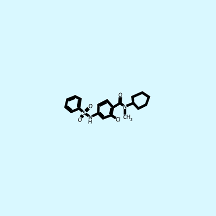 CN(C(=O)c1ccc(NS(=O)(=O)c2ccccc2)cc1Cl)C1CCCCC1